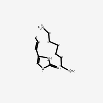 CC=Cc1coc(=O)[nH]1.CCCCCCCCCCCCCCCCN